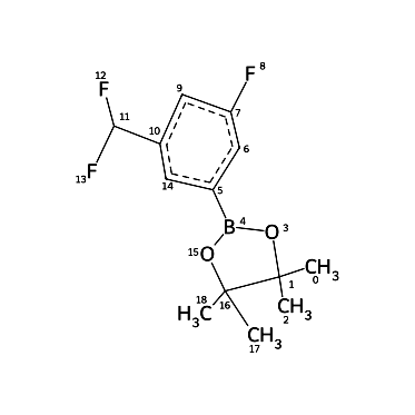 CC1(C)OB(c2cc(F)cc(C(F)F)c2)OC1(C)C